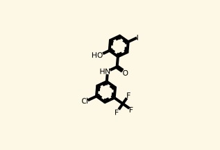 O=C(Nc1cc(Cl)cc(C(F)(F)F)c1)c1cc(I)ccc1O